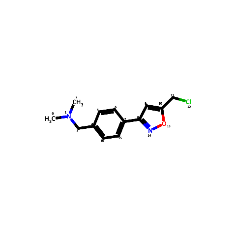 CN(C)Cc1ccc(-c2cc(CCl)on2)cc1